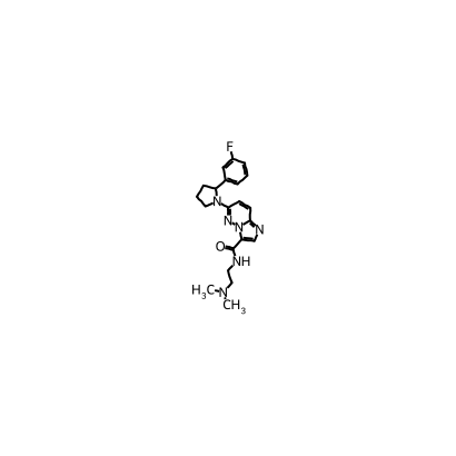 CN(C)CCNC(=O)c1cnc2ccc(N3CCCC3c3cccc(F)c3)nn12